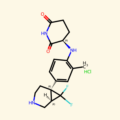 Cc1cc([C@@]23CCNC[C@@H]2C3(F)F)ccc1N[C@@H]1CCC(=O)NC1=O.Cl